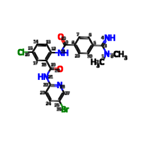 CN(C)C(=N)c1ccc(C(=O)Nc2ccc(Cl)cc2C(=O)Nc2ccc(Br)cn2)cc1